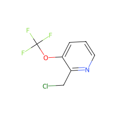 FC(F)(F)Oc1cccnc1CCl